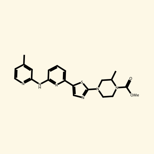 COC(=O)N1CCN(c2ncc(-c3cccc(Nc4cc(C)ccn4)n3)s2)CC1C